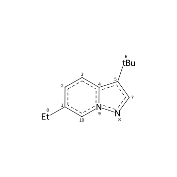 CCc1ccc2c(C(C)(C)C)cnn2c1